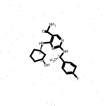 C[C@H](Nc1ncc(C(N)=O)c(N[C@@H]2CCC[C@H](O)C2)n1)c1ccc(F)cc1